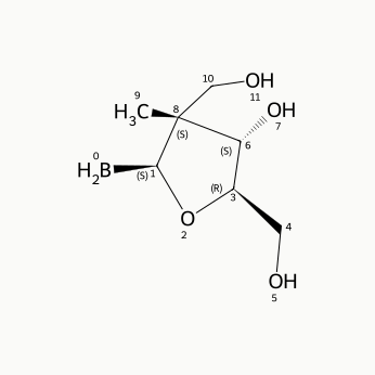 B[C@@H]1O[C@H](CO)[C@@H](O)[C@@]1(C)CO